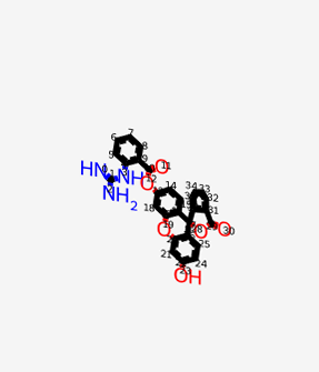 N=C(N)Nc1ccccc1C(=O)Oc1ccc2c(c1)Oc1cc(O)ccc1C21OC(=O)c2ccccc21